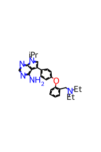 CCN(CC)Cc1ccccc1Oc1ccc(-c2cn(C(C)C)c3ncnc(N)c23)cc1